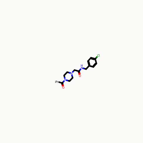 CC(C)C(=O)N1CCN(CC(=O)NCc2ccc(Cl)cc2)CC1